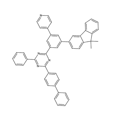 CC1(C)c2ccccc2-c2cc(-c3cc(-c4ccncc4)cc(-c4nc(-c5ccccc5)nc(-c5ccc(-c6ccccc6)cc5)n4)c3)ccc21